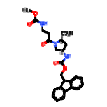 CC(C)(C)OC(=O)NCCC(=O)N1C[C@@H](NC(=O)OCC2c3ccccc3-c3ccccc32)C[C@H]1C(=O)O